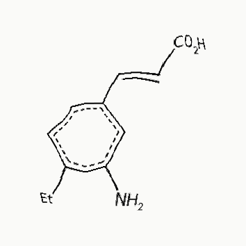 CCc1ccc(C=CC(=O)O)cc1N